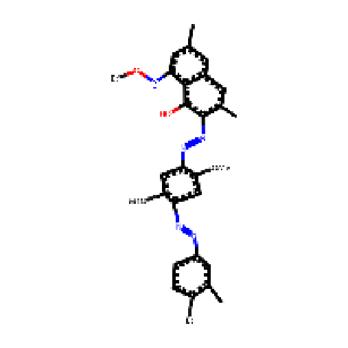 CCONc1cc(C)cc2cc(C)c(N=Nc3cc(OC)c(N=Nc4ccc(CC)c(C)c4)cc3OC)c(O)c12